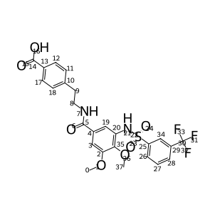 COc1cc(C(=O)NCCc2ccc(C(=O)O)cc2)cc(NS(=O)(=O)c2cccc(C(F)(F)F)c2)c1OC